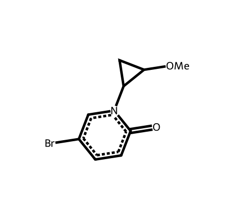 COC1CC1n1cc(Br)ccc1=O